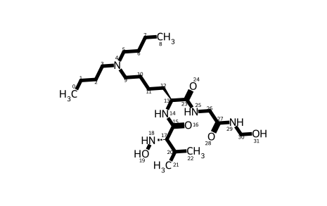 CCCCN(CCCC)CCCC[C@H](NC(=O)[C@@H](NO)C(C)C)C(=O)NCC(=O)NCO